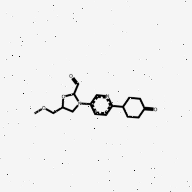 COCC1CN(c2ccc(C3CCC(=O)CC3)nc2)C(C=O)O1